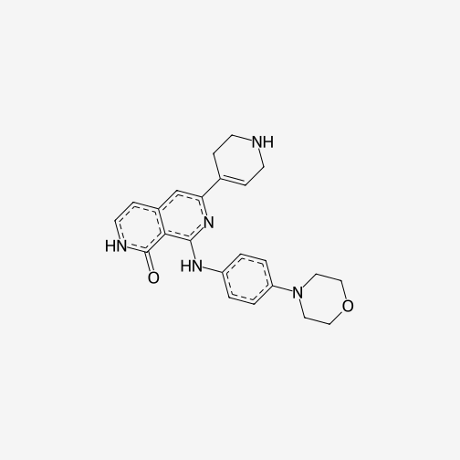 O=c1[nH]ccc2cc(C3=CCNCC3)nc(Nc3ccc(N4CCOCC4)cc3)c12